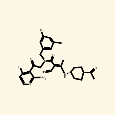 C/C(N[C@H]1CC[C@H](C(C)=O)CC1)=C(/C=N)C(=O)N(CC(=O)c1c(Cl)ccnc1N)Cc1cc(F)cc(F)c1